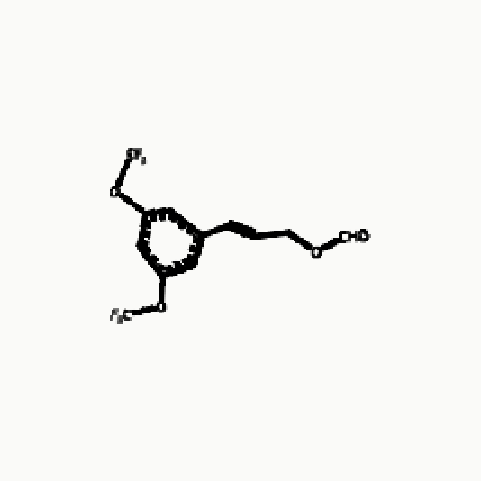 O=[C]OCC=Cc1cc(OC(F)(F)F)cc(OC(F)(F)F)c1